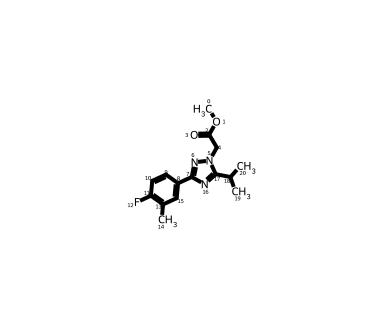 COC(=O)Cn1nc(-c2ccc(F)c(C)c2)nc1C(C)C